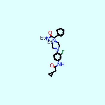 CCN(CC)C(=O)C(c1ccccc1)N1CCN(c2ccc(NC(=O)CC3CC3)cc2F)CC1